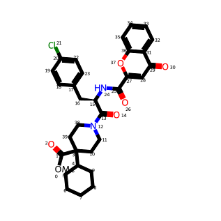 COC(=O)C1(C2CCCCC2)CCN(C(=O)[C@@H](Cc2ccc(Cl)cc2)NC(=O)c2cc(=O)c3ccccc3o2)CC1